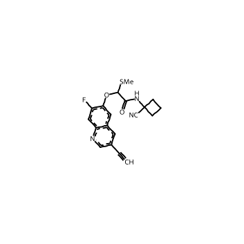 C#Cc1cnc2cc(F)c(OC(SC)C(=O)NC3(C#N)CCC3)cc2c1